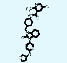 O=C(NC1CCC(Cn2c(=O)n(-c3ccc(OC4CCOC4)nc3)c3ccccc32)CC1)c1cc(Cl)cnc1C(F)(F)F